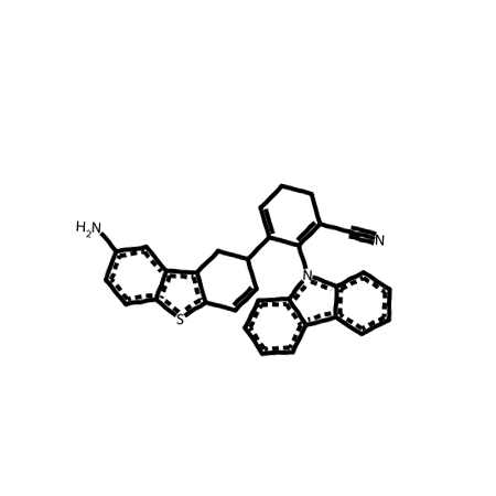 N#CC1=C(n2c3ccccc3c3ccccc32)C(C2C=Cc3sc4ccc(N)cc4c3C2)=CCC1